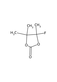 CC1(C)OC(=O)OC1(C)F